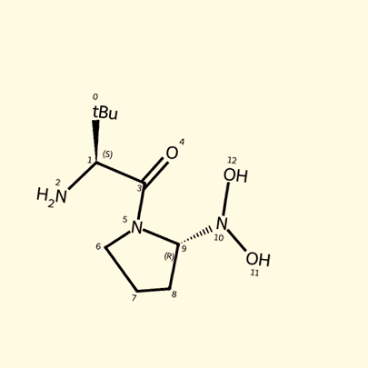 CC(C)(C)[C@H](N)C(=O)N1CCC[C@H]1N(O)O